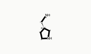 [NH]C[C@H]1CCNC1